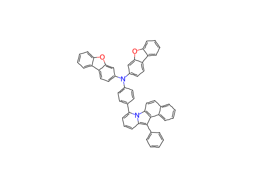 c1ccc(-c2c3c4ccccc4ccc3n3c(-c4ccc(N(c5ccc6c(c5)oc5ccccc56)c5ccc6c(c5)oc5ccccc56)cc4)cccc23)cc1